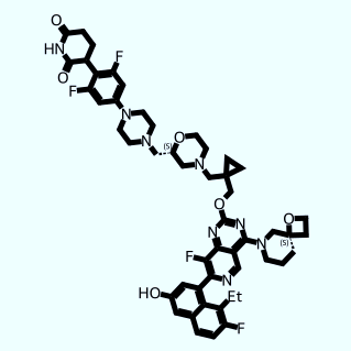 CCc1c(F)ccc2cc(O)cc(-c3ncc4c(N5CCC[C@]6(CCO6)C5)nc(OCC5(CN6CCO[C@@H](CN7CCN(c8cc(F)c(C9CCC(=O)NC9=O)c(F)c8)CC7)C6)CC5)nc4c3F)c12